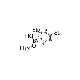 CCc1ccc(B(O)ON)c(CC)c1